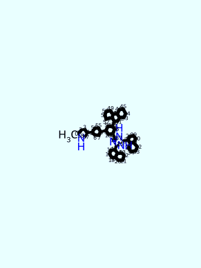 CC1=CC=C(c2ccc(-c3cc(C4=NC(c5cccc6ccccc56)NC(c5cccc6ccccc56)N4)cc(-c4cc5ccccc5c5ccccc45)c3)cc2)CN1